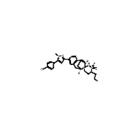 CCCC1CC[C@]2(NS1(=O)=O)[C@@H]1CC[C@H]2Cc2ccc(-c3cc(-c4ccc(Cl)cc4)n(C)n3)cc2C1